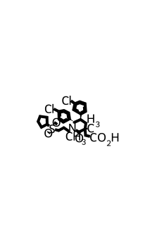 C[C@@H](CCS(=O)(=O)C1CCCC1)N1C(=O)[C@@](C)(CC(=O)O)C[C@H](c2cccc(Cl)c2)[C@H]1c1ccc(Cl)cc1